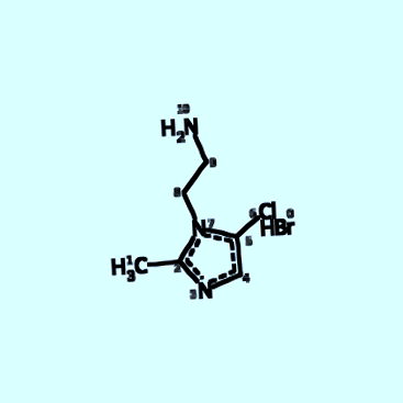 Br.Cc1ncc(Cl)n1CCN